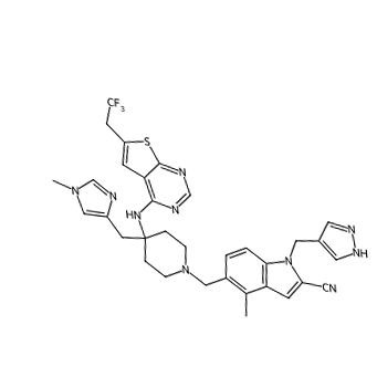 Cc1c(CN2CCC(Cc3cn(C)cn3)(Nc3ncnc4sc(CC(F)(F)F)cc34)CC2)ccc2c1cc(C#N)n2Cc1cn[nH]c1